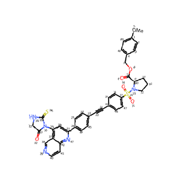 COc1ccc(COC(=O)[C@H]2CCCN2S(=O)(=O)c2ccc(C#Cc3ccc(-c4cc(N5C(=O)CNC5=S)c5cnccc5n4)cc3)cc2)cc1